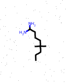 CCCC(C)(C)CCCC(N)N